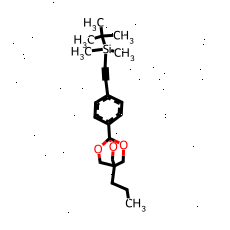 CCCC12COC(c3ccc(C#C[Si](C)(C)C(C)(C)C)cc3)(OC1)OC2